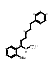 CCCCc1ccccc1C(CCCCCc1ccccc1)OC(=O)O